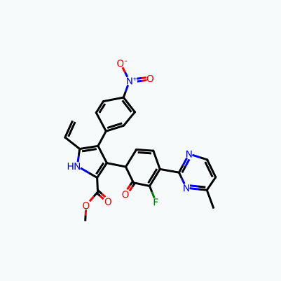 C=Cc1[nH]c(C(=O)OC)c(C2C=CC(c3nccc(C)n3)=C(F)C2=O)c1-c1ccc([N+](=O)[O-])cc1